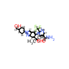 CC(C)(O)c1cc2nn(C3CCC(CO)CC3)cc2cc1N1C=C(C(N)=O)C=NC1C(F)(F)F